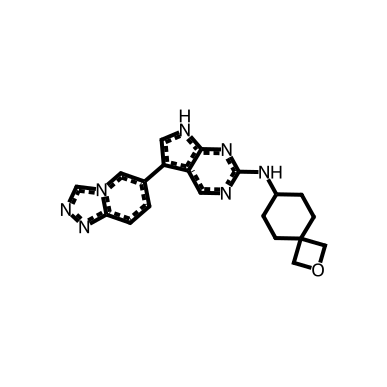 c1cc2nncn2cc1-c1c[nH]c2nc(NC3CCC4(CC3)COC4)ncc12